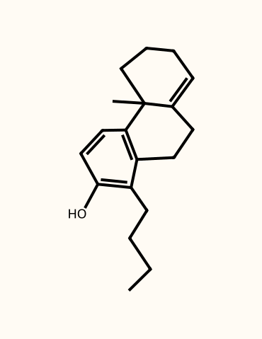 CCCCc1c(O)ccc2c1CCC1=CCCCC12C